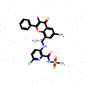 Cc1cc([C@@H](C)Nc2ccc(Cl)nc2C(=O)NS(C)(=O)=O)c2oc(-c3ccccc3)c(I)c(=O)c2c1